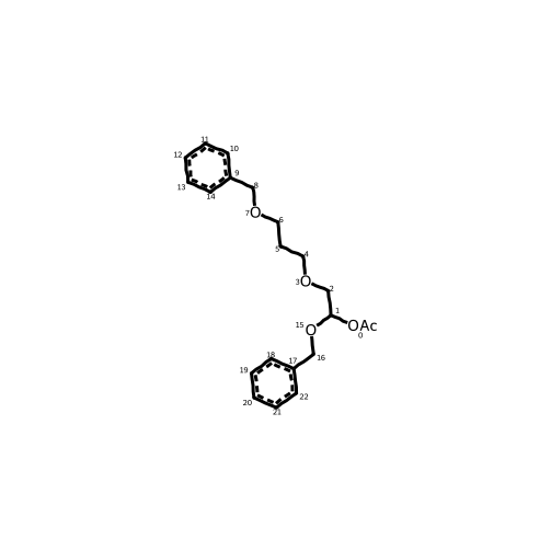 CC(=O)OC(COCCCOCc1ccccc1)OCc1ccccc1